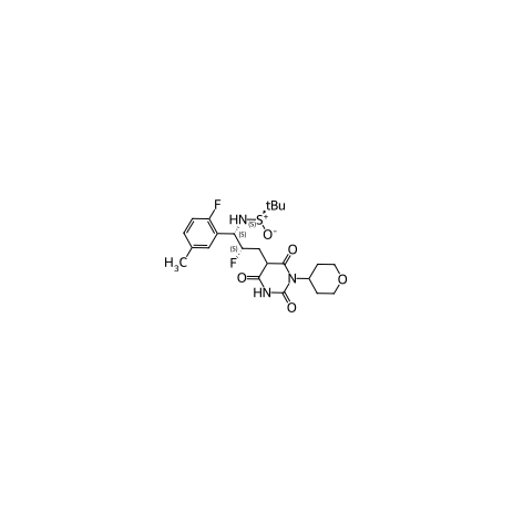 Cc1ccc(F)c([C@H](N[S@+]([O-])C(C)(C)C)[C@@H](F)CC2C(=O)NC(=O)N(C3CCOCC3)C2=O)c1